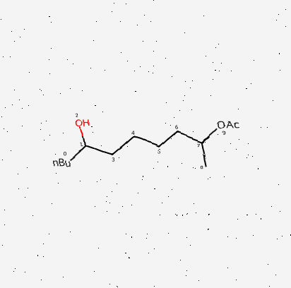 CCCCC(O)CCCCC(C)OC(C)=O